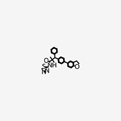 CC(C)(C(=O)Nc1nncs1)C(c1ccccc1)c1ccc(-c2ccc3c(c2)CCO3)cc1